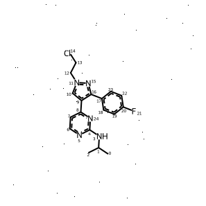 CC(C)Nc1nccc(-c2cn(CCCl)nc2-c2ccc(F)cc2)n1